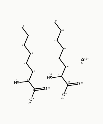 CCCCCCC(S)C(=O)[O-].CCCCCCC(S)C(=O)[O-].[Zn+2]